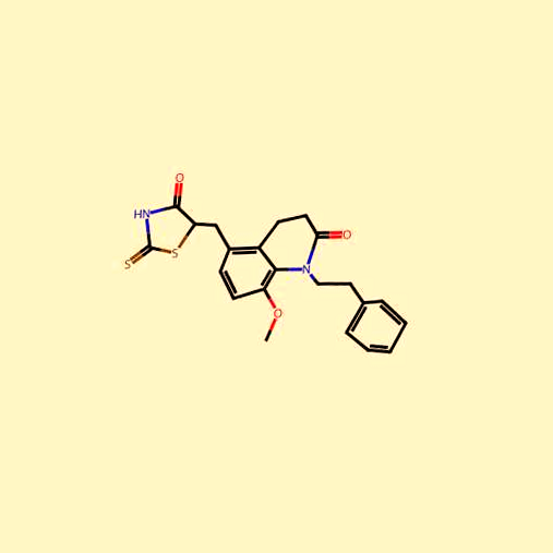 COc1ccc(CC2SC(=S)NC2=O)c2c1N(CCc1ccccc1)C(=O)CC2